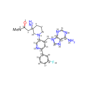 CNC(=O)CC1(N)CCCN(c2cnc(-c3cccc(F)c3)cc2Cn2cnc3c(N)ncnc32)C1